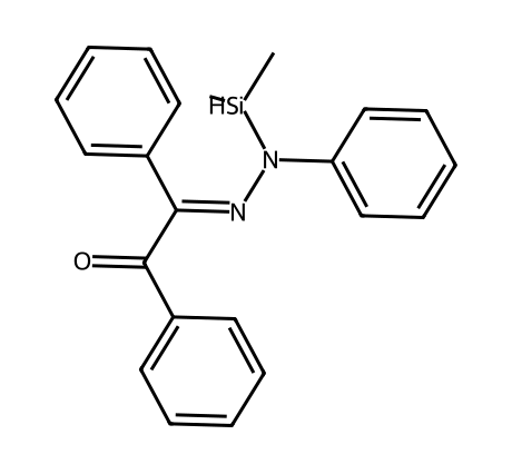 C[SiH](C)N(N=C(C(=O)c1ccccc1)c1ccccc1)c1ccccc1